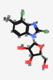 OC[C@H]1O[C@@H](n2c(Cl)nc3c(Cl)c(C(F)(F)F)ccc32)[C@H](O)[C@@H]1O